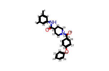 Cc1cc(C)cc(NC(=O)C2CCN(C(=O)c3ccc(Oc4ccccc4)cc3)CC2)c1